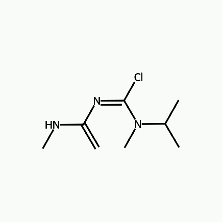 C=C(/N=C(/Cl)N(C)C(C)C)NC